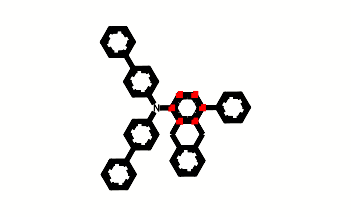 c1ccc(-c2ccc(N(c3ccc(-c4ccccc4)cc3)c3ccc(-c4ccccc4)c4c3C3c5ccccc5C4c4ccccc43)cc2)cc1